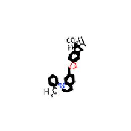 Cc1ccccc1N1CCCc2ccc(COc3ccc4c(c3)C[C@H]3C(C(=O)O)[C@@H]43)cc21